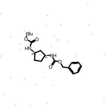 CC(C)(C)OC(=O)N[C@@H]1CC[C@H](NC(=O)OCc2ccccc2)C1